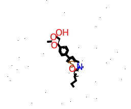 CCCCCC(=O)N(C)Cc1cc(-c2ccc([C@H](CC(=O)O)OCC)cc2)cs1